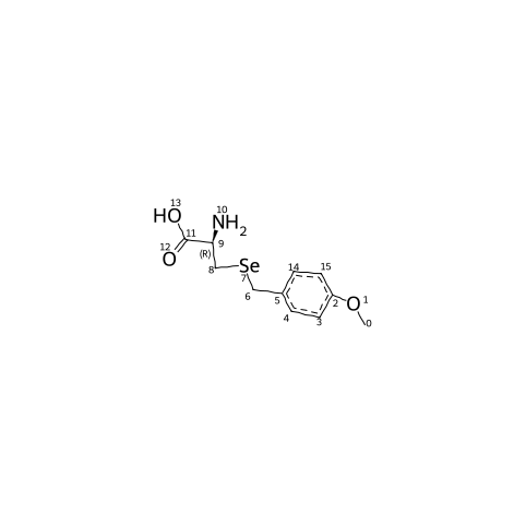 COc1ccc(C[Se]C[C@H](N)C(=O)O)cc1